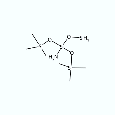 C[Si](C)(C)O[Si](N)(O[SiH3])O[Si](C)(C)C